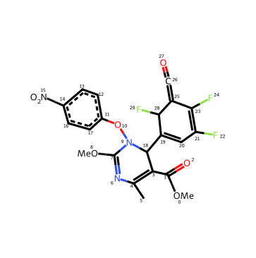 COC(=O)C1=C(C)N=C(OC)N(Oc2ccc([N+](=O)[O-])cc2)C1C1=CC(F)=C(F)C(=C=O)C1F